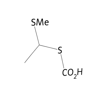 CSC(C)SC(=O)O